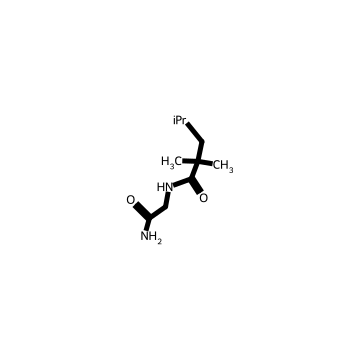 CC(C)CC(C)(C)C(=O)NCC(N)=O